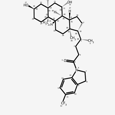 C[C@H](CCC(=O)N1CCc2cc(C(F)(F)F)ccc21)[C@H]1CC[C@H]2[C@@H]3[C@@H](O)C[C@@H]4C[C@H](O)CC[C@]4(C)[C@H]3CC[C@]12C